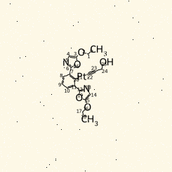 CCOc1cnc(-c2cccc(-c3ncc(OCC)o3)[c]2[Pt][C]#CCO)o1